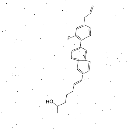 C=CCc1ccc(-c2ccc3cc(C=CCCCC(C)O)ccc3c2)c(F)c1